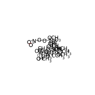 CC[C@H](C)[C@@H]([C@@H](CC(=O)N1CCC[C@H]1[C@H](OC)[C@@H](C)C(=O)NC(Cc1ccccc1)C(=O)OC)OC)N(C)C(=O)[C@@H](NC(=O)[C@H](C(C)C)N(C)C(=O)CCCNC(=O)C(C)NC(=O)CCOCCOCCN(Cc1ccccc1)Cc1ccccc1)C(C)C